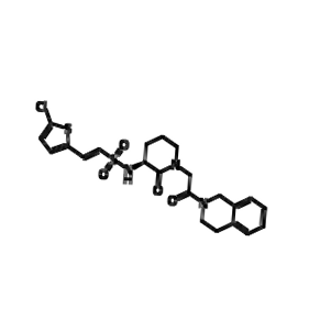 O=C(CN1CCC[C@H](NS(=O)(=O)/C=C/c2ccc(Cl)s2)C1=O)N1CCc2ccccc2C1